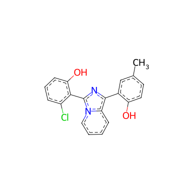 Cc1ccc(O)c(-c2nc(-c3c(O)cccc3Cl)n3ccccc23)c1